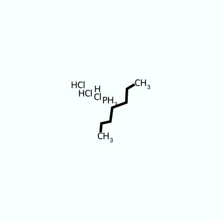 CCCCCCC.Cl.Cl.Cl.P